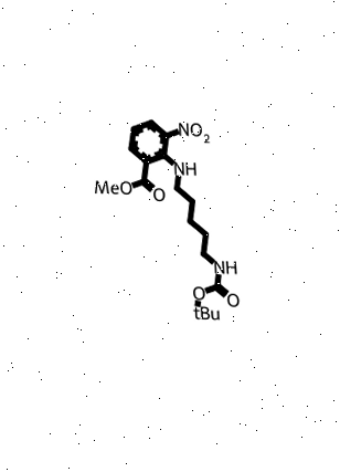 COC(=O)c1cccc([N+](=O)[O-])c1NCCCCCNC(=O)OC(C)(C)C